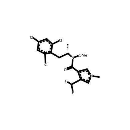 CON(C(=O)c1cn(C)cc1C(F)F)[C@@H](C)Cc1c(Cl)cc(Cl)cc1Cl